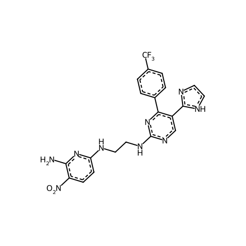 Nc1nc(NCCNc2ncc(-c3ncc[nH]3)c(-c3ccc(C(F)(F)F)cc3)n2)ccc1[N+](=O)[O-]